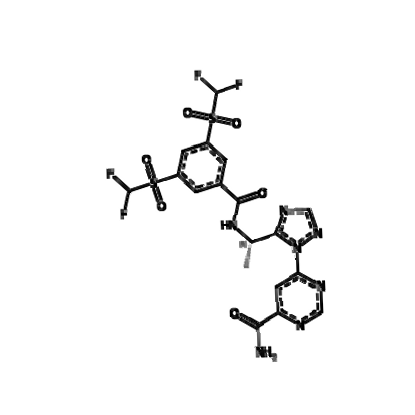 C[C@H](NC(=O)c1cc(S(=O)(=O)C(F)F)cc(S(=O)(=O)C(F)F)c1)c1ncnn1-c1cc(C(N)=O)ncn1